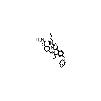 CCCCNc1ncc2c3ccc(CN4CCOCC4)cc3c(=O)n(CC3CCC(OC(N)=O)CC3)c2n1